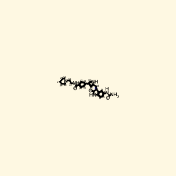 NC(=O)Nc1ccc2c(c1)/C(=C/c1cc(-c3ccc(C(=O)NCCN4CCCCC4)cc3)c[nH]1)C(=O)N2